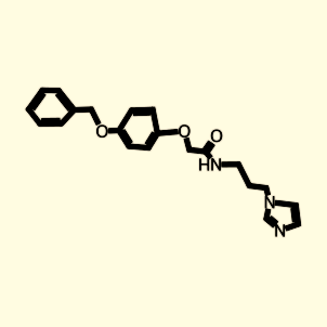 O=C(COc1ccc(OCc2ccccc2)cc1)NCCCn1ccnc1